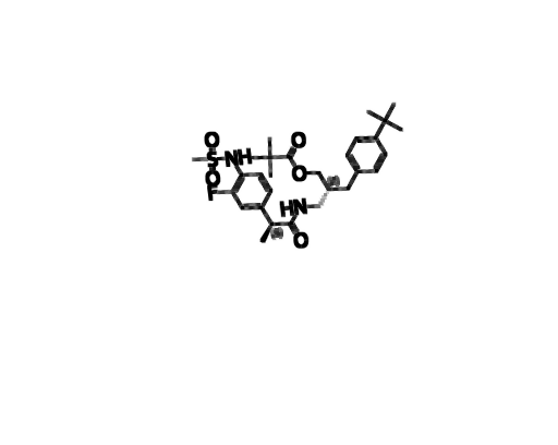 C[C@H](C(=O)NC[C@H](COC(=O)C(C)(C)C)Cc1ccc(C(C)(C)C)cc1)c1ccc(NS(C)(=O)=O)c(F)c1